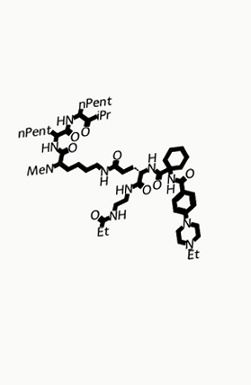 CCCCCC(NC(=O)C(CCCCNC(=O)CC[C@H](NC(=O)C1(NC(=O)c2ccc(N3CCN(CC)CC3)cc2)CCCCC1)C(=O)NCCNC(=O)CC)NC)C(=O)NC(CCCCC)C(=O)C(C)C